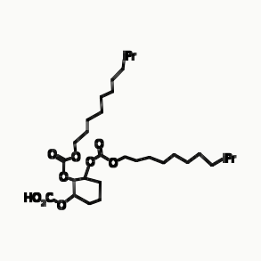 CC(C)CCCCCCCCOC(=O)OC1CCCC(OC(=O)O)C1OC(=O)OCCCCCCCCC(C)C